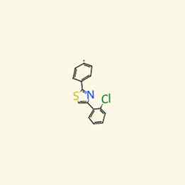 Clc1ccccc1-c1csc(-c2cc[c]cc2)n1